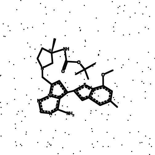 COc1cc(C)cc2cc(-c3cc(CN4CC[C@](C)(NC(=O)OC(C)(C)C)C4)n4ncnc(N)c34)sc12